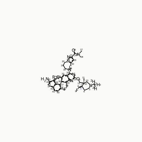 [2H]C([2H])([2H])N1CC/C(=C\F)[C@](C)(COc2nc(N3CCCn4nc(C(=O)N(C)C)cc4C3)c3cc(C(F)(F)F)c(-c4c(F)ccc5sc(N)c(C#N)c45)c(F)c3n2)C1